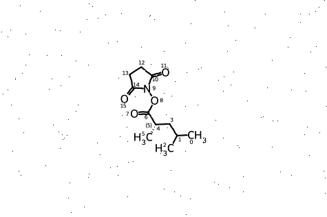 CC(C)C[C@H](C)C(=O)ON1C(=O)CCC1=O